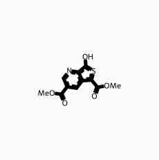 COC(=O)c1cnc2c(O)sc(C(=O)OC)c2c1